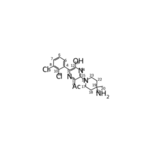 CC(=O)c1nc(-c2cccc(Cl)c2Cl)c(O)nc1N1CCC(C)(N)CC1